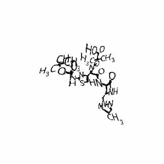 Cc1cnn(C[C@@H]2NC(=O)C2NC(=O)/C(=N\OC(C)(C)C(=O)O)c2csc(NC(=O)OC(C)(C)C)n2)n1